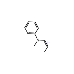 C/C=C\N(C)c1ccccc1